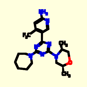 C[C@@H]1CN(c2nc(-c3cnc(N)cc3C(F)(F)F)nc(N3CCCCCC3)n2)[C@@H](C)CO1